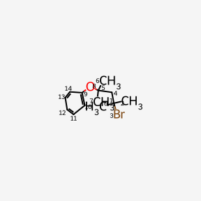 CC(C)(Br)CC(C)(C)Oc1ccccc1